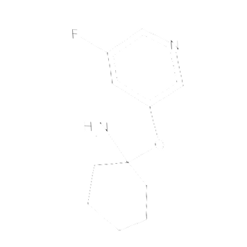 NC1(Oc2cncc(F)c2)CCCCC1